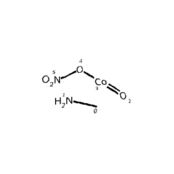 CN.[O]=[Co][O][N+](=O)[O-]